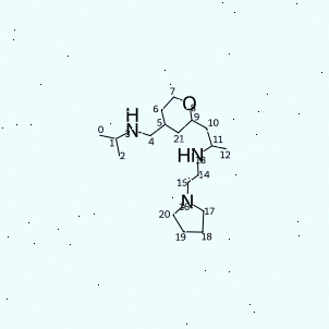 CC(C)NCC1CCOC(CC(C)NCCN2CCCC2)C1